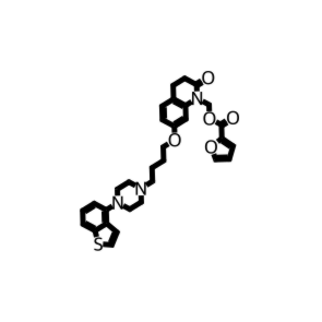 O=C(OCN1C(=O)CCc2ccc(OCCCCN3CCN(c4cccc5sccc45)CC3)cc21)c1ccco1